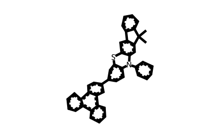 CC1(C)c2ccccc2-c2cc3c(cc21)N(c1ccccc1)c1ccc(-c2ccc4c5ccccc5c5ccccc5c4c2)cc1S3